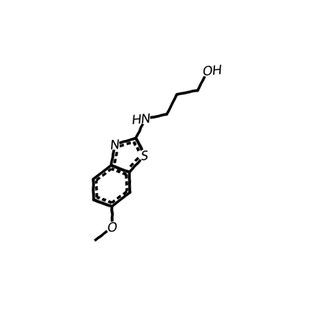 COc1ccc2nc(NCCCO)sc2c1